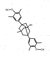 CCCC12CC3(C)CC(c4cc(C)c(OC#N)c(C)c4)(C1)CC(c1cc(C)c(OC#N)c(C)c1)(C3)C2